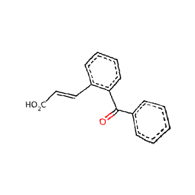 O=C(O)/C=C/c1ccccc1C(=O)c1ccccc1